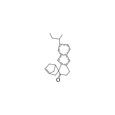 CCC(C)c1ccc2cc3c(cc2c1)C1(CC2=CCC1C2)C(=O)CC3